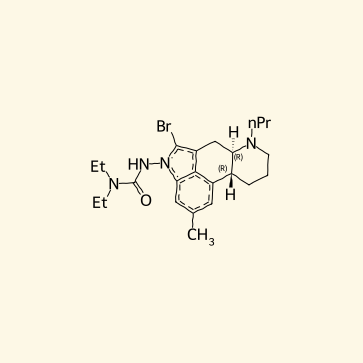 CCCN1CCC[C@@H]2c3cc(C)cc4c3c(c(Br)n4NC(=O)N(CC)CC)C[C@H]21